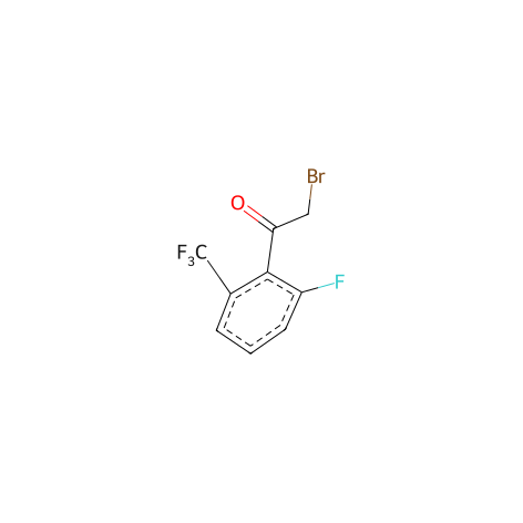 O=C(CBr)c1c(F)cccc1C(F)(F)F